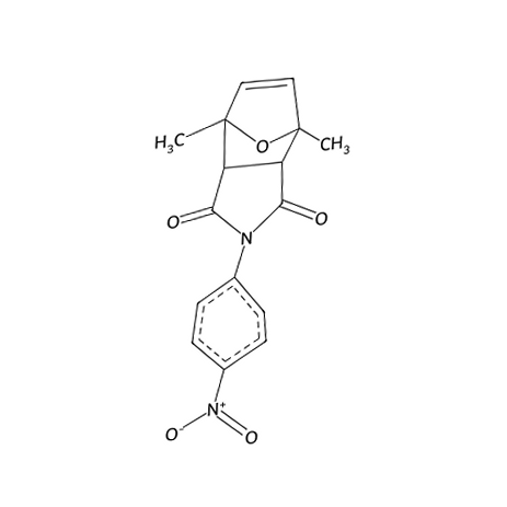 CC12C=CC(C)(O1)C1C(=O)N(c3ccc([N+](=O)[O-])cc3)C(=O)C12